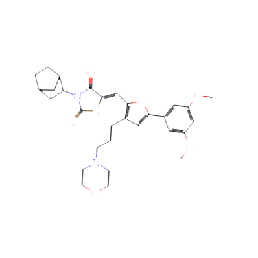 COc1cc(OC)cc(-c2cc(CCCN3CCOCC3)c(/C=C3\SC(=S)N(C4CC5CCC4C5)C3=O)o2)c1